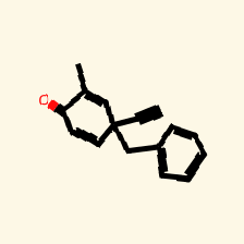 C#CC1(Cc2ccccc2)C=CC(=O)C(C)=C1